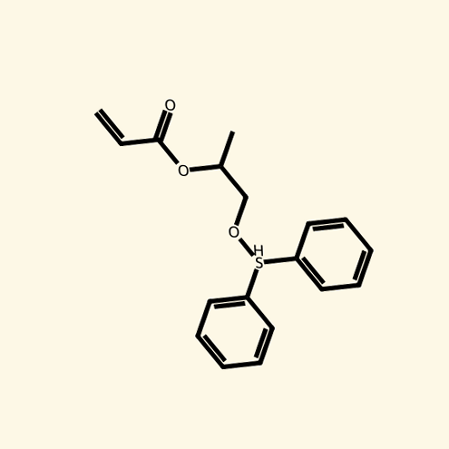 C=CC(=O)OC(C)CO[SH](c1ccccc1)c1ccccc1